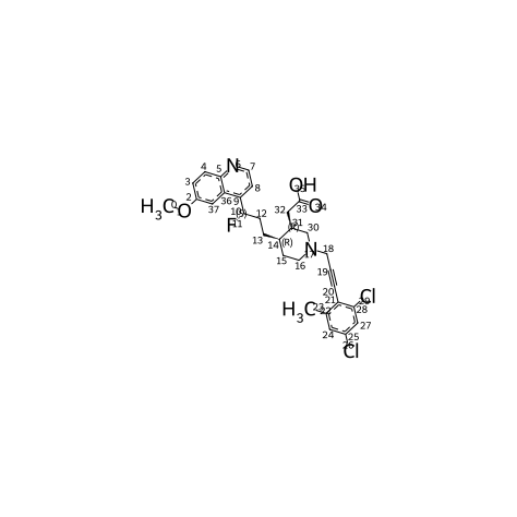 COc1ccc2nccc([C@@H](F)CC[C@@H]3CCN(CC#Cc4c(C)cc(Cl)cc4Cl)C[C@@H]3CC(=O)O)c2c1